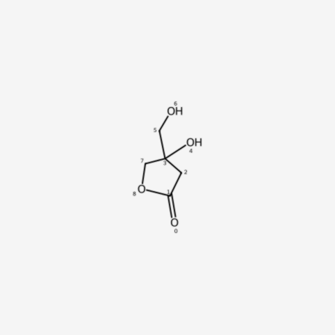 O=C1CC(O)(CO)CO1